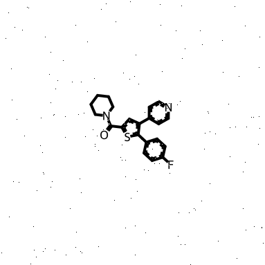 O=C(c1cc(-c2ccncc2)c(-c2ccc(F)cc2)s1)N1CCCCC1